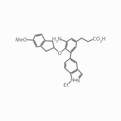 CCn1ncc2cc(-c3cc(CCC(=O)O)cc(N)c3OC3Cc4ccc(OC)cc4C3)ccc21